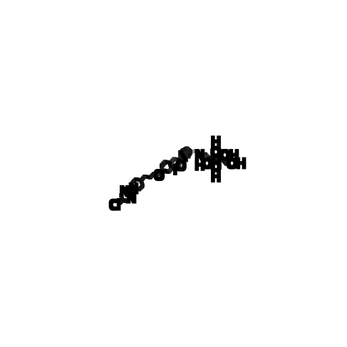 O=C(Cc1ccc(OCCCC2CCN(c3ncc(Cl)cn3)CC2)cc1F)N1CC[C@H](CNC[C@H](O)[C@@H](O)[C@H](O)[C@H](O)CO)C1